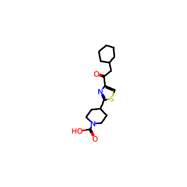 O=C(CC1CCCCC1)c1csc(C2CCN(C(=O)O)CC2)n1